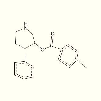 Cc1ccc(C(=O)OC2CNCCC2c2ccccc2)cc1